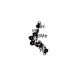 COc1nc(-c2cccc(-c3cccc(-c4ccn5c(=O)c(CNC[C@@H]6CCC(=O)N6)cnc5c4)c3Cl)c2C(F)(F)F)ccc1CNC[C@@H]1CCC(=O)N1